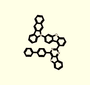 c1ccc(-c2ccc(-c3nc(-c4cccc5oc6cc(-n7c8ccccc8c8cc9ccccc9cc87)ccc6c45)nc4c3sc3ccccc34)cc2)cc1